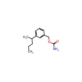 CCCC(C)c1cccc(COC(N)=O)c1